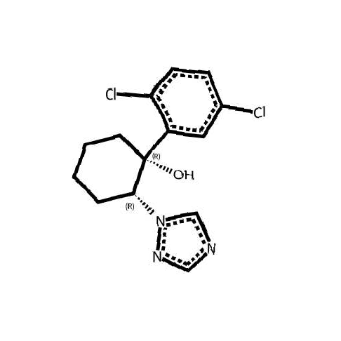 O[C@@]1(c2cc(Cl)ccc2Cl)CCCC[C@H]1n1cncn1